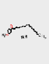 CCCCCCCC/C=C\CCCCCCCC(=O)c1ccc(OC)cc1.[NaH]